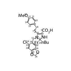 CCCCC1(CC)NC(C(=O)O)=C(SCc2ccc(OC)cc2)N1Cc1cc2c(cc1Cl)OCO2